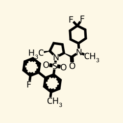 Cc1ccc(S(=O)(=O)N2[C@@H](C)CC[C@H]2C(=O)N(C)C2CCC(F)(F)CC2)c(-c2ccccc2F)c1